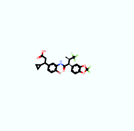 C[C@H]([C@H](C(=O)Nc1cc(C(CC(=O)O)C2CC2)ccc1Br)c1ccc2c(c1)OC(F)(F)O2)C(F)(F)F